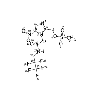 CS(=O)(=O)OCc1ncc([N+](=O)[O-])n1CC(=O)NCC(F)(F)C(F)(F)F